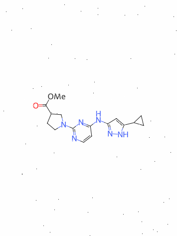 COC(=O)C1CCN(c2nccc(Nc3cc(C4CC4)[nH]n3)n2)C1